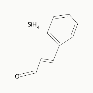 O=CC=Cc1ccccc1.[SiH4]